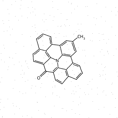 Cc1cc2c3cccc4ccc5c(=O)c6ccc7cccc8c(c1)c2n(c5c43)c6c78